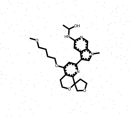 COCCCCOc1cc(-c2cn(C)c3cnc(NC(C)O)cc23)nc2c1CCOC21CCOC1